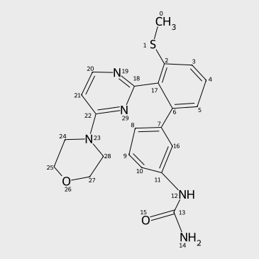 CSc1cccc(-c2cccc(NC(N)=O)c2)c1-c1nccc(N2CCOCC2)n1